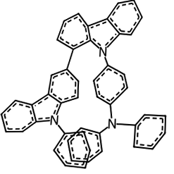 c1ccc(N(c2ccccc2)c2ccc(-n3c4ccccc4c4cccc(-c5ccc6c(c5)c5ccccc5n6-c5ccccc5)c43)cc2)cc1